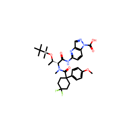 COc1ccc(C2(C(=O)N(C)[C@@H](C(=O)Nc3ccc4c(cnn4C(=O)O)n3)C(C)O[Si](C)(C)C(C)(C)C)CCC(F)(F)CC2)cc1